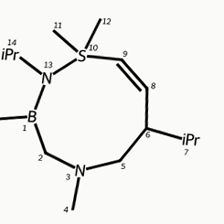 CB1CN(C)CC(C(C)C)C=CS(C)(C)N1C(C)C